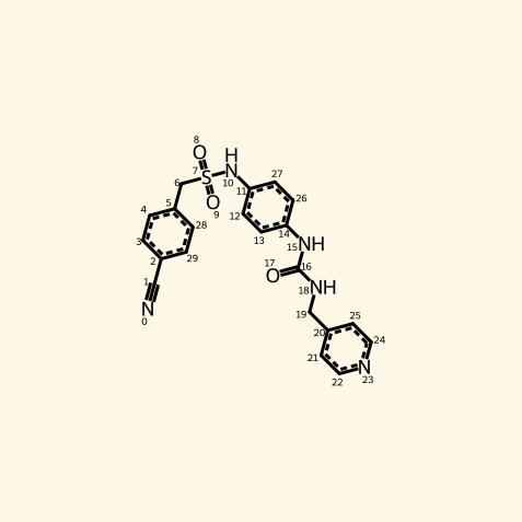 N#Cc1ccc(CS(=O)(=O)Nc2ccc(NC(=O)NCc3ccncc3)cc2)cc1